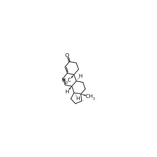 C[C@@]12[CH]CC[C@H]1[C@@H]1C=CC3=CC(=O)CC[C@]3(C)[C@H]1CC2